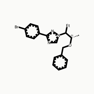 CCC([C@H](C)OCc1ccccc1)n1cnc(-c2ccc(Br)cc2)n1